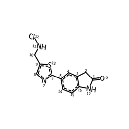 O=C1Cc2cc(-c3ncc(CNCl)s3)ccc2N1